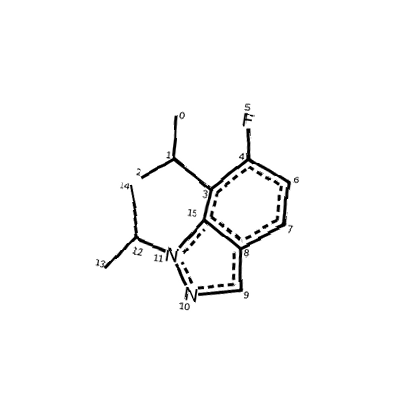 CC(C)c1c(F)ccc2cnn(C(C)C)c12